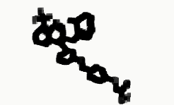 Cc1ccccc1Cc1cnc2c(C(F)(F)F)cccc2c1-c1cccc(OCc2ccc(OCC(=O)O)cc2)c1